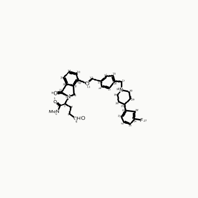 CNC(=O)C(CCC=O)N1Cc2c(OCc3ccc(CN4CCC(c5cccc(F)c5)CC4)cc3)cccc2C1=O